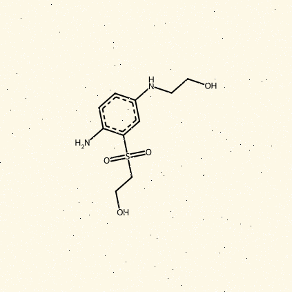 Nc1ccc(NCCO)cc1S(=O)(=O)CCO